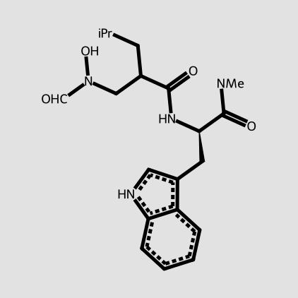 CNC(=O)[C@@H](Cc1c[nH]c2ccccc12)NC(=O)C(CC(C)C)CN(O)C=O